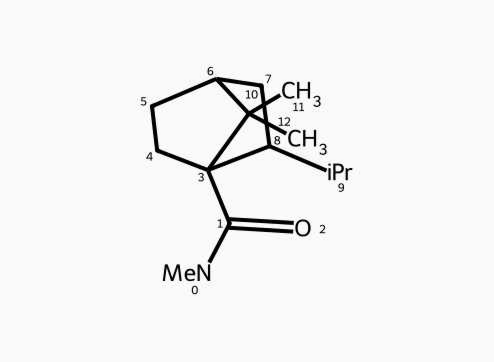 CNC(=O)C12CCC(CC1C(C)C)C2(C)C